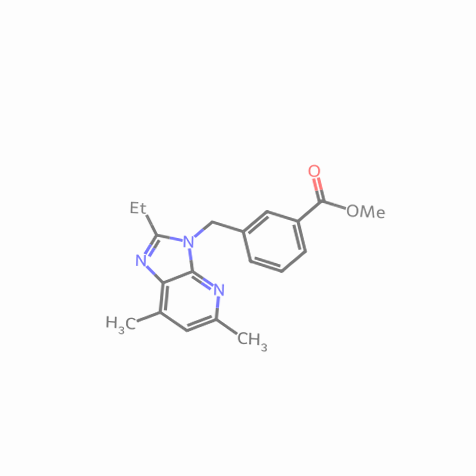 CCc1nc2c(C)cc(C)nc2n1Cc1cccc(C(=O)OC)c1